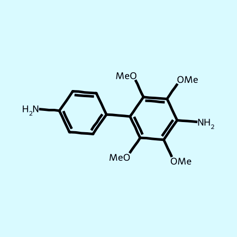 COc1c(N)c(OC)c(OC)c(-c2ccc(N)cc2)c1OC